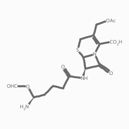 CC(=O)OCC1=C(C(=O)O)N2C(=O)[C@@H](NC(=O)CCC[C@@H](N)OC=O)C2SC1